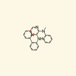 CN(c1ccccc1)c1nccnc1Nc1ccccc1-c1ccccc1